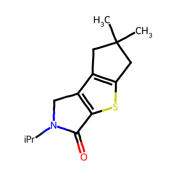 CC(C)N1Cc2c(sc3c2CC(C)(C)C3)C1=O